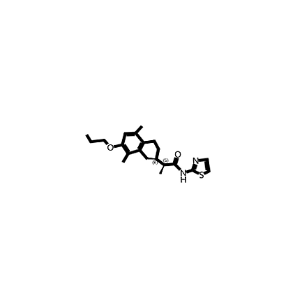 CCCOc1cc(C)c2c(c1C)C[C@H]([C@H](C)C(=O)Nc1nccs1)CC2